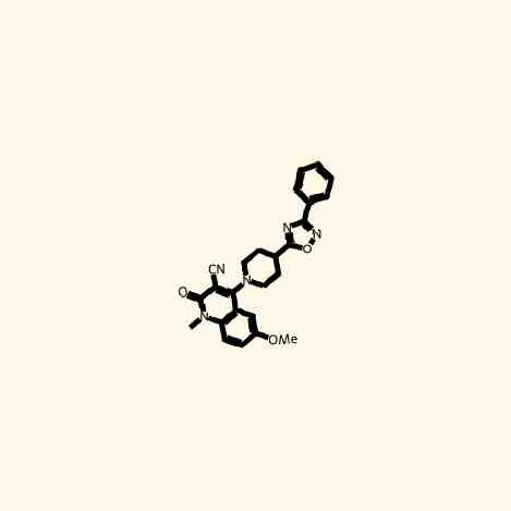 COc1ccc2c(c1)c(N1CCC(c3nc(-c4ccccc4)no3)CC1)c(C#N)c(=O)n2C